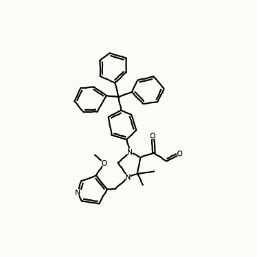 COc1cnccc1CN1CN(c2ccc(C(c3ccccc3)(c3ccccc3)c3ccccc3)cc2)C(C(=O)C=O)C1(C)C